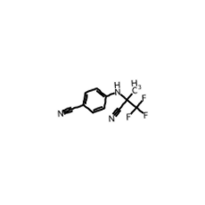 CC(C#N)(Nc1ccc(C#N)cc1)C(F)(F)F